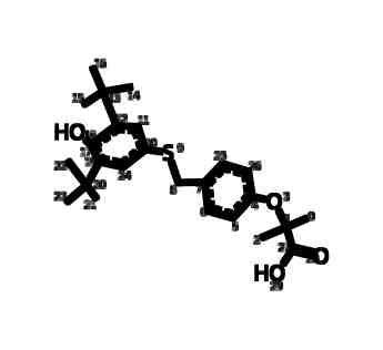 CC(C)(Oc1ccc(CSc2cc(C(C)(C)C)c(O)c(C(C)(C)C)c2)cc1)C(=O)O